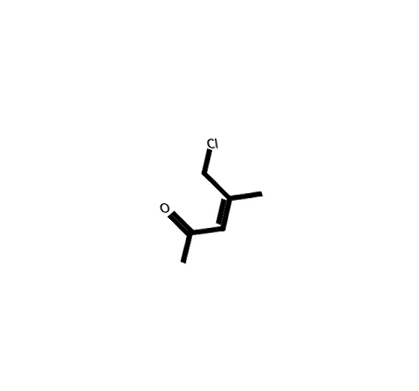 CC(=O)C=C(C)CCl